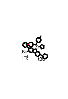 Cc1ccc([C](c2ccc(C)cc2)=[Zr]([C]2=CC=CC2)[CH]2c3cc(-c4ccccc4)c(C(C)(C)C)cc3-c3cc(C(C)(C)C)c(-c4ccccc4)cc32)cc1.Cl.Cl